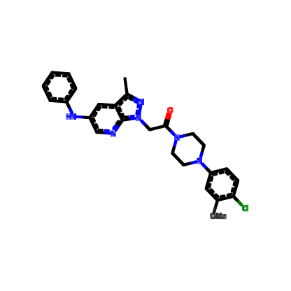 COc1cc(N2CCN(C(=O)Cn3nc(C)c4cc(Nc5ccccc5)cnc43)CC2)ccc1Cl